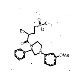 CCC(CCS(C)(=O)=O)C(=O)N1CCN(c2cccc(OC)c2)CC1c1ccccc1